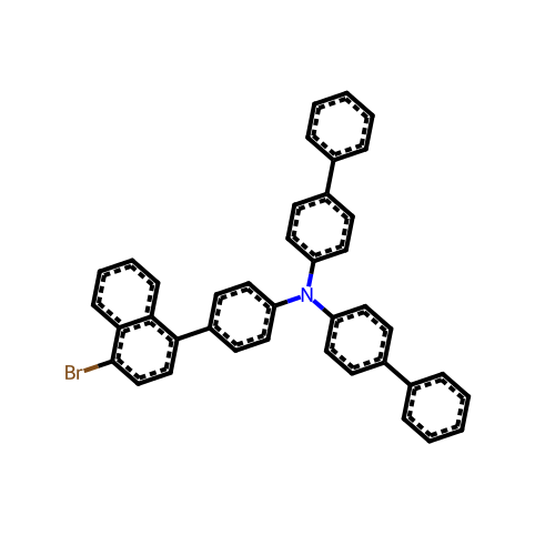 Brc1ccc(-c2ccc(N(c3ccc(-c4ccccc4)cc3)c3ccc(-c4ccccc4)cc3)cc2)c2ccccc12